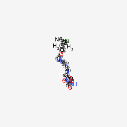 CC(C)(c1ccc(OCc2ccnc(N3CC4(CCN(CC5CN(c6ccc7c(c6)C(=O)N(C6CCC(=O)NC6=O)C7=O)C5)CC4)C3)n2)cc1)c1cc(Cl)cc(C#N)c1